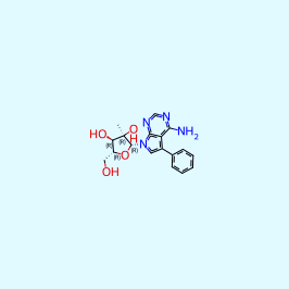 C[C@@]1(O)[C@H](O)[C@@H](CO)O[C@H]1n1cc(-c2ccccc2)c2c(N)ncnc21